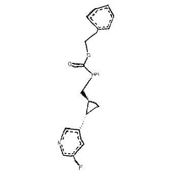 O=C(NC[C@H]1C[C@@H]1c1cncc(F)c1)OCc1ccccc1